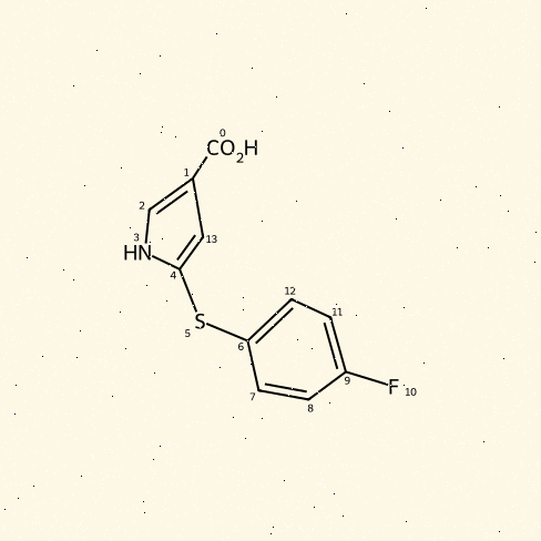 O=C(O)c1c[nH]c(Sc2ccc(F)cc2)c1